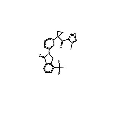 Cn1cnnc1C(=O)C1(c2cccc(N3Cc4c(cccc4C(F)(F)F)C3=O)c2)CC1